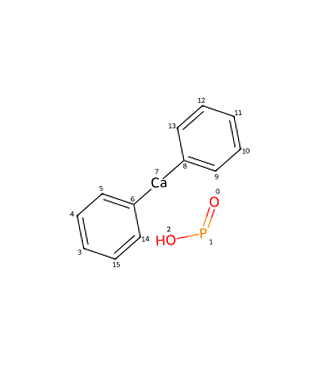 O=PO.c1cc[c]([Ca][c]2ccccc2)cc1